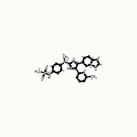 Cc1cccc(-c2[nH]c(N(C)c3ccc(NS(C)(=O)=O)cc3)nc2-c2ccc3ncnn3c2)n1